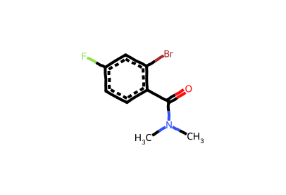 CN(C)C(=O)c1ccc(F)cc1Br